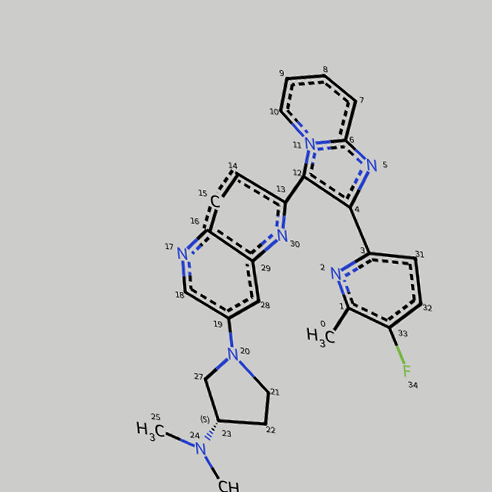 Cc1nc(-c2nc3ccccn3c2-c2ccc3ncc(N4CC[C@H](N(C)C)C4)cc3n2)ccc1F